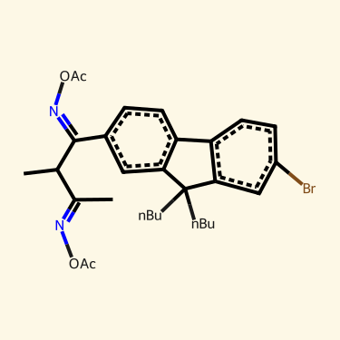 CCCCC1(CCCC)c2cc(Br)ccc2-c2ccc(/C(=N\OC(C)=O)C(C)/C(C)=N/OC(C)=O)cc21